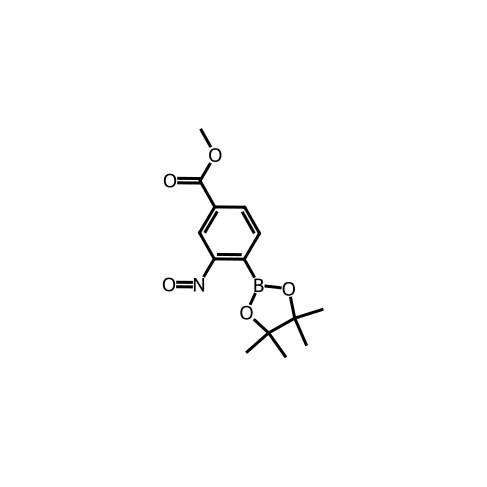 COC(=O)c1ccc(B2OC(C)(C)C(C)(C)O2)c(N=O)c1